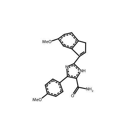 COc1ccc(-c2nc(C3=CCc4ccc(OC)cc43)[nH]c2C(N)=O)cc1